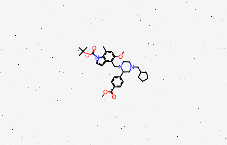 COC(=O)c1ccc(C2CN(CC3CCCC3)CCN2Cc2c(OC)cc(C)c3c2ccn3C(=O)OC(C)(C)C)cc1